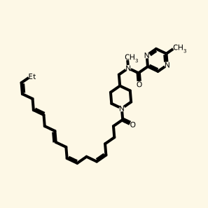 CC/C=C\CC=CCC=CC/C=C\C/C=C\CCCC(=O)N1CCC(CN(C)C(=O)c2cnc(C)cn2)CC1